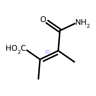 C/C(C(N)=O)=C(\C)C(=O)O